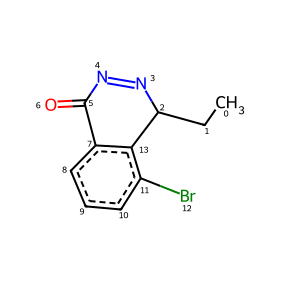 CCC1N=NC(=O)c2cccc(Br)c21